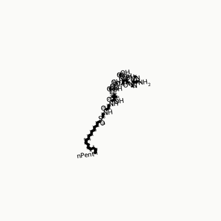 CCCCC/C=C\C/C=C\C/C=C\CCCCCCCCC(=O)SCCNC(=O)CCNC(=O)[C@H](O)C(C)(C)COP(=O)(O)OP(=O)(O)OC[C@H]1O[C@@H](n2cnc3c(N)ncnc32)[C@H](O)[C@@H]1OP(=O)(O)O